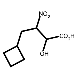 O=C(O)C(O)C(CC1CCC1)[N+](=O)[O-]